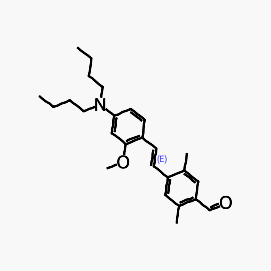 CCCCN(CCCC)c1ccc(/C=C/c2cc(C)c(C=O)cc2C)c(OC)c1